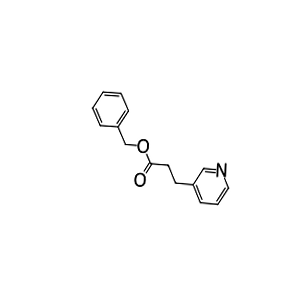 O=C(CCc1cccnc1)OCc1ccccc1